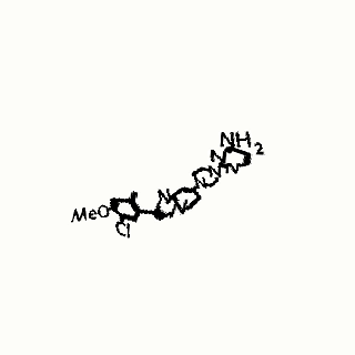 COc1cc(C)c(-c2cn3ccc(N4CCN(c5nccc(N)n5)CC4)cc3n2)cc1Cl